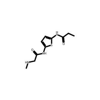 CCC(=O)Nc1ccc(NC(=O)CNC)s1